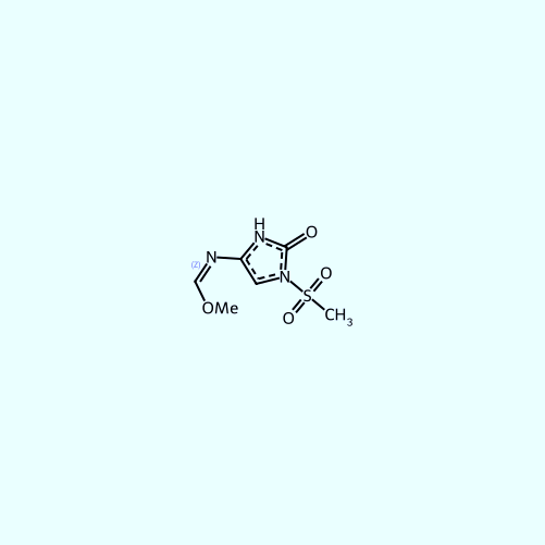 CO/C=N\c1cn(S(C)(=O)=O)c(=O)[nH]1